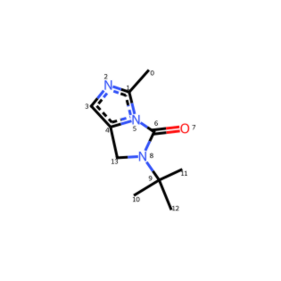 Cc1ncc2n1C(=O)N(C(C)(C)C)C2